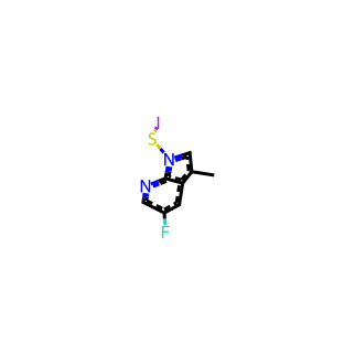 Cc1cn(SI)c2ncc(F)cc12